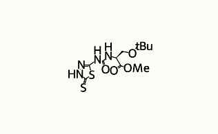 COC(=O)[C@H](COC(C)(C)C)NC(=O)Nc1n[nH]c(=S)s1